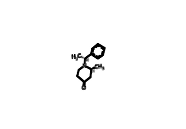 C[C@H](c1ccccc1)N1CCC(=O)C[C@@H]1C